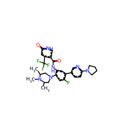 CC1CN(c2cc(F)c(-c3ccc(N4CCCC4)nc3)cc2NC(=O)c2c[nH]c(=O)cc2C(F)(F)F)CC(C)N1C